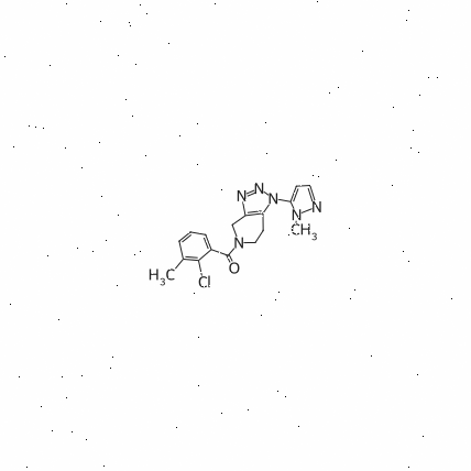 Cc1cccc(C(=O)N2CCc3c(nnn3-c3ccnn3C)C2)c1Cl